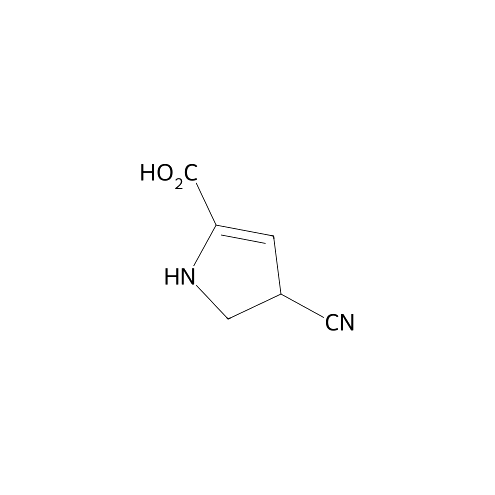 N#CC1C=C(C(=O)O)NC1